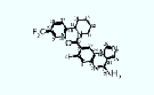 Nc1nc2cc(F)c(C(=O)N3CCCCC3c3ccc(C(F)(F)F)cn3)cc2n2cncc12